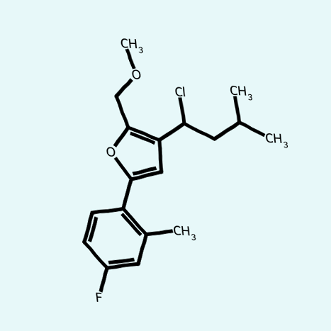 COCc1oc(-c2ccc(F)cc2C)cc1C(Cl)CC(C)C